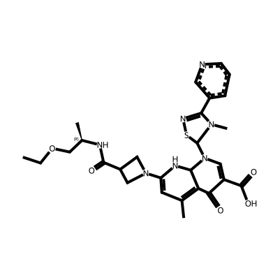 CCOC[C@@H](C)NC(=O)C1CN(C2=CC(C)=C3C(=O)C(C(=O)O)=CN(C4SN=C(c5cccnc5)N4C)C3N2)C1